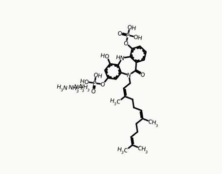 CC(C)=CCCC(C)=CCCC(C)=CCN1C(=O)c2cccc(OP(=O)(O)O)c2Nc2c(O)cc(OP(=O)(O)O)cc21.N.N.N.N